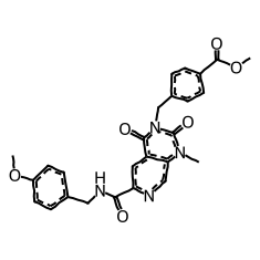 COC(=O)c1ccc(Cn2c(=O)c3cc(C(=O)NCc4ccc(OC)cc4)ncc3n(C)c2=O)cc1